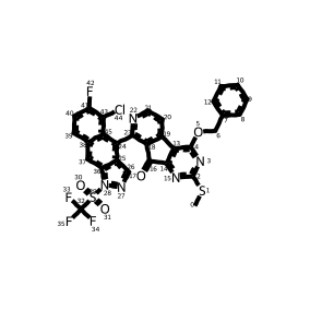 CSc1nc(OCc2ccccc2)c2c(n1)C(=O)c1c-2ccnc1-c1c2cnn(S(=O)(=O)C(F)(F)F)c2cc2ccc(F)c(Cl)c12